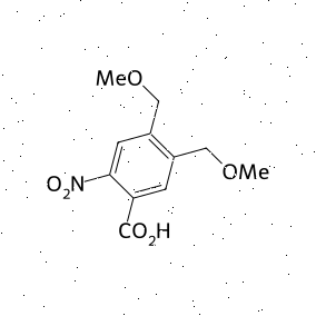 COCc1cc(C(=O)O)c([N+](=O)[O-])cc1COC